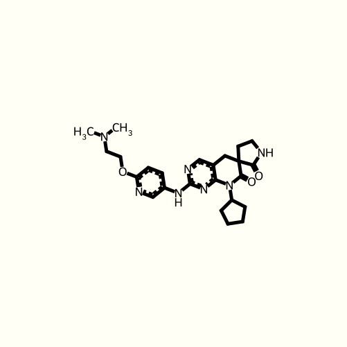 CN(C)CCOc1ccc(Nc2ncc3c(n2)N(C2CCCC2)C(=O)C2(CCNC2=O)C3)cn1